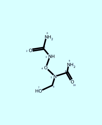 NC(=O)NON(CO)C(N)=O